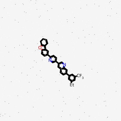 CCc1cc(-c2ccc3cc(-c4ccc(-c5ccc6oc7c(c6c5)C=CCC7)nc4)cnc3c2)cc(C(F)(F)F)c1